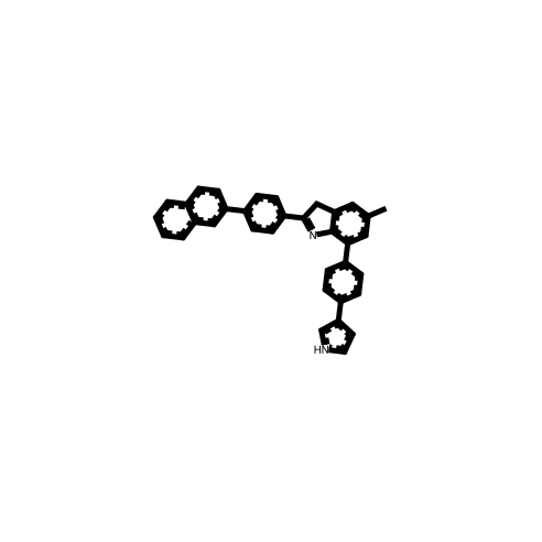 Cc1cc2c(c(-c3ccc(-c4cc[nH]c4)cc3)c1)N=C(c1ccc(-c3ccc4ccccc4c3)cc1)C2